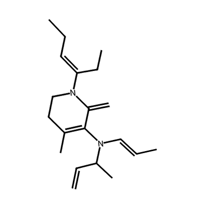 C=CC(C)N(/C=C/C)C1=C(C)CCN(/C(=C/CC)CC)C1=C